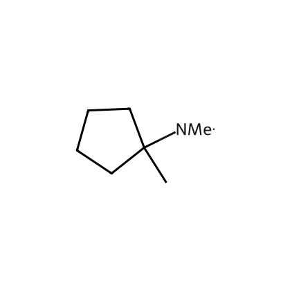 C[N]C1(C)CCCC1